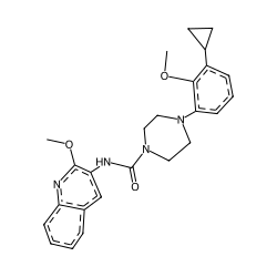 COc1nc2ccccc2cc1NC(=O)N1CCN(c2cccc(C3CC3)c2OC)CC1